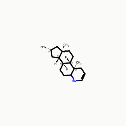 CCC[C@H]1C[C@H]2[C@@H]3CCC4NC=CC[C@]4(C)[C@H]3CC[C@]2(C)C1